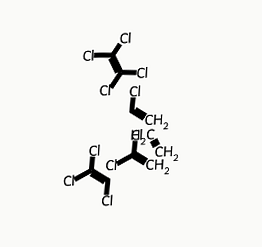 C=C.C=C(Cl)Cl.C=CCl.ClC(Cl)=C(Cl)Cl.ClC=C(Cl)Cl